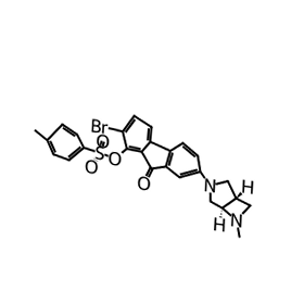 Cc1ccc(S(=O)(=O)Oc2c(Br)ccc3c2C(=O)c2cc(N4C[C@@H]5CN(C)[C@H]5C4)ccc2-3)cc1